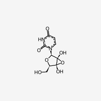 O=c1ccn([C@@H]2O[C@H](CO)[C@@]3(O)O[C@@]23O)c(=O)[nH]1